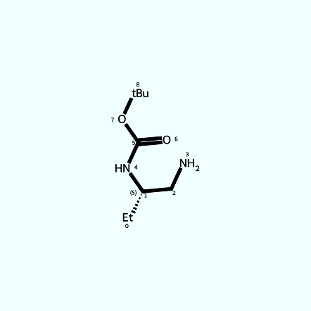 CC[C@@H](CN)NC(=O)OC(C)(C)C